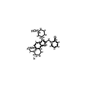 COCN1c2ccc3c(nc(Cn4ccccc4=O)n3[C@@H]3CCC[C@@H](O)C3)c2CC[C@@H]1C